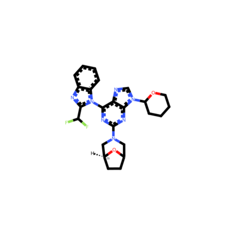 FC(F)c1nc2ccccc2n1-c1nc(N2CC3CC[C@@H](C2)O3)nc2c1ncn2C1CCCCO1